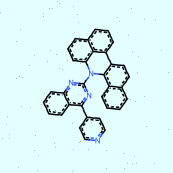 c1ccc2c3c(ccc2c1)-c1cccc2cccc(c12)N3c1nc(-c2ccncc2)c2ccccc2n1